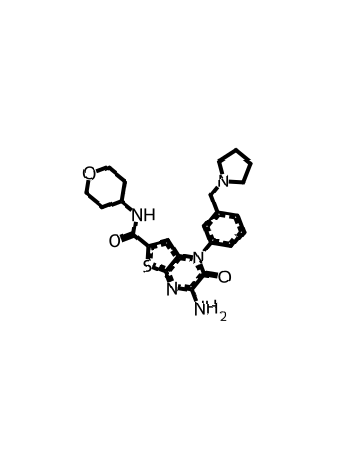 Nc1nc2sc(C(=O)NC3CCOCC3)cc2n(-c2cccc(CN3CCCC3)c2)c1=O